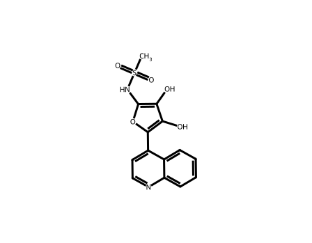 CS(=O)(=O)Nc1oc(-c2ccnc3ccccc23)c(O)c1O